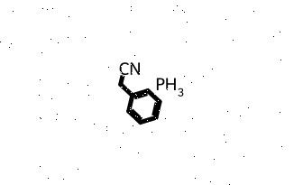 N#CCc1ccccc1.P